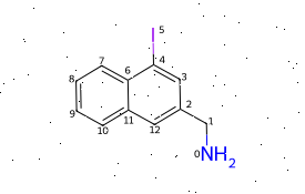 NCc1cc(I)c2ccccc2c1